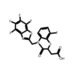 O=C(O)CC1Sc2c(F)cccc2N(Cc2nc3c(F)c(F)c(F)c(F)c3s2)C1=O